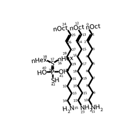 CCCCCCCCC=CCCCCCCCCN.CCCCCCCCC=CCCCCCCCCN.CCCCCCCCC=CCCCCCCCCN.CCCCCCS(CCCCCC)=P(O)(O)S